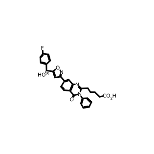 O=C(O)CCCCc1nc2cc(-c3cc([C@H](O)c4ccc(F)cc4)on3)ccc2c(=O)n1-c1ccccc1